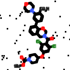 CC(C)(C)OC(=O)N1CCC(Oc2cc(Cl)c(C(=O)N3COc4c(cccc4-c4ccc(C(=O)O)c(N5CCOCC5)c4)C3)c(Cl)c2)CC1